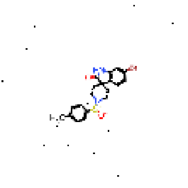 Cc1ccc([S+]([O-])N2CCC3(CC2)C(=O)Nc2cc(Br)ccc23)cc1